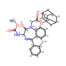 CC(C)(C)OC(=O)NC1N=C(c2ccccc2F)c2ccccc2N(CC(=O)OC23CC4CC(CC(C4)C2)C3)C1=O